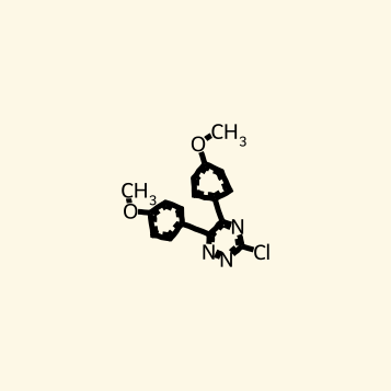 COc1ccc(-c2nnc(Cl)nc2-c2ccc(OC)cc2)cc1